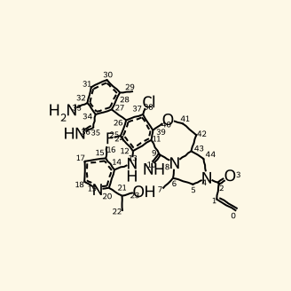 C=CC(=O)N1CC(C)N2C(=N)c3c(Nc4c(C)ccnc4C(C)O)c(F)c(-c4c(C)ccc(N)c4C=N)c(Cl)c3OCCC2C1